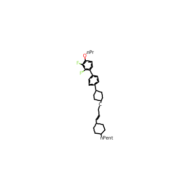 CCCCCC1CCC(/C=C/CCC2CCC(c3ccc(-c4ccc(OCCC)c(F)c4F)cc3)CC2)CC1